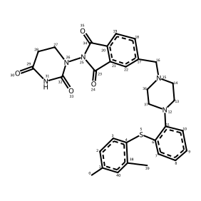 Cc1ccc(Sc2ccccc2N2CCN(Cc3ccc4c(c3)C(=O)N(N3CCC(=O)NC3=O)C4=O)CC2)c(C)c1